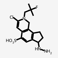 CC(C)(F)CN1Cc2c(c(S(=O)(=O)O)cc3c2CCC3NN)C=C1Cl